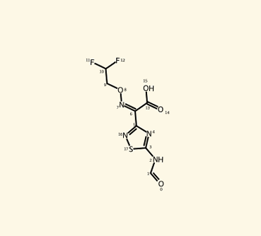 O=CNc1nc(C(=NOCC(F)F)C(=O)O)ns1